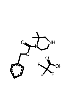 CC1(C)CNCCN1C(=O)OCc1ccccc1.O=C(O)C(F)(F)F